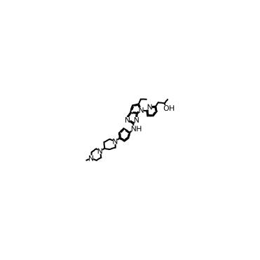 CCc1cc2cnc(Nc3ccc(N4CCC(N5CCN(C)CC5)CC4)cc3)nc2n1-c1cccc(CC(C)O)n1